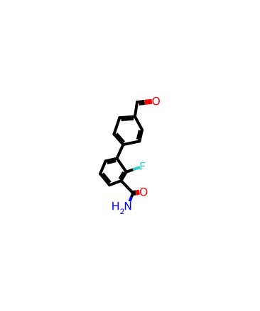 NC(=O)c1cccc(-c2ccc(C=O)cc2)c1F